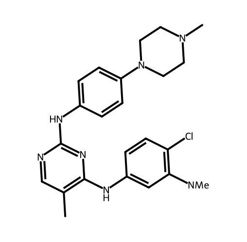 CNc1cc(Nc2nc(Nc3ccc(N4CCN(C)CC4)cc3)ncc2C)ccc1Cl